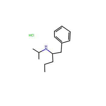 CCCC(Cc1ccccc1)NC(C)C.Cl